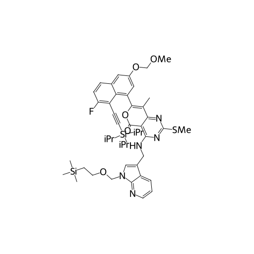 COCOc1cc(-c2oc(=O)c3c(NCc4cn(COCC[Si](C)(C)C)c5ncccc45)nc(SC)nc3c2C)c2c(C#C[Si](C(C)C)(C(C)C)C(C)C)c(F)ccc2c1